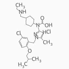 CCNCC1CCC(N(C(=O)O)c2cc(C)n(Cc3cc(Cl)ccc3OCC(C)C)n2)CC1.Cl